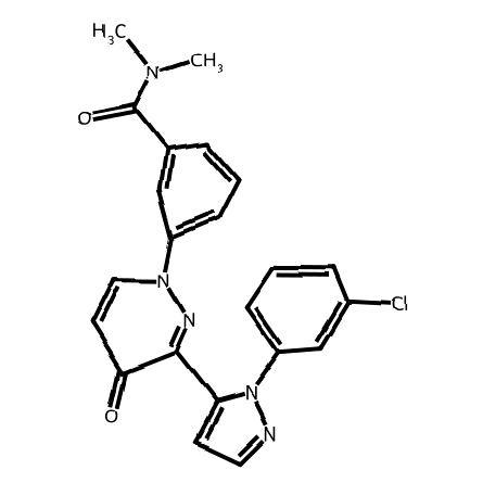 CN(C)C(=O)c1cccc(-n2ccc(=O)c(-c3ccnn3-c3cccc(Cl)c3)n2)c1